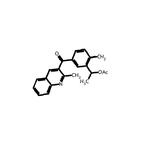 CC(=O)OC(C)c1cc(C(=O)c2cc3ccccc3nc2C)ccc1C